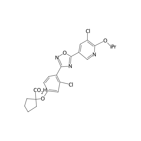 CC(C)Oc1ncc(-c2nc(-c3ccc(OC4(C(=O)O)CCCC4)cc3Cl)no2)cc1Cl